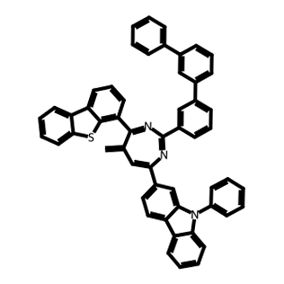 C=C1C=C(c2ccc3c4ccccc4n(-c4ccccc4)c3c2)N=C(c2cccc(-c3cccc(-c4ccccc4)c3)c2)N=C1c1cccc2c1sc1ccccc12